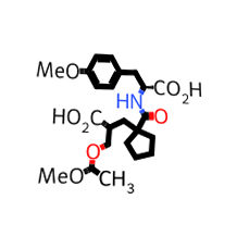 COc1ccc(C[C@H](NC(=O)C2(CC(COC(C)OC)C(=O)O)CCCC2)C(=O)O)cc1